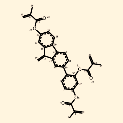 C=C(C)C(=O)Oc1ccc(-c2ccc3c(c2)C(=C)c2cc(OC(=O)C(=C)C)ccc2-3)c(OC(=O)C(=C)C)c1